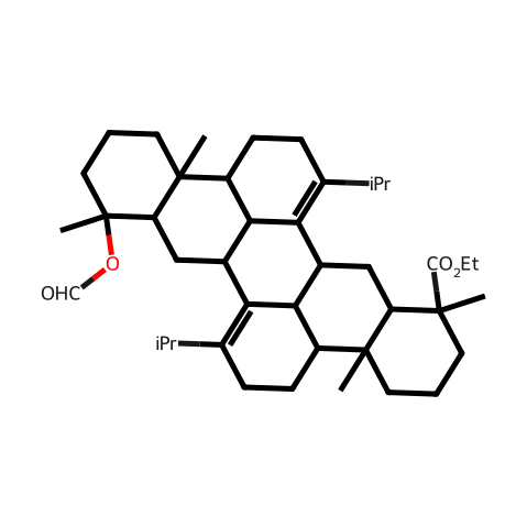 CCOC(=O)C1(C)CCCC2(C)C3CCC(C(C)C)=C4C5CC6C(C)(OC=O)CCCC6(C)C6CCC(C(C)C)=C(C(CC12)C43)C56